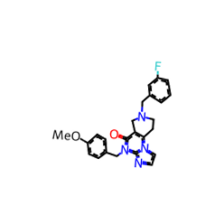 COc1ccc(Cn2c(=O)c3c(n4ccnc24)CCN(Cc2cccc(F)c2)C3)cc1